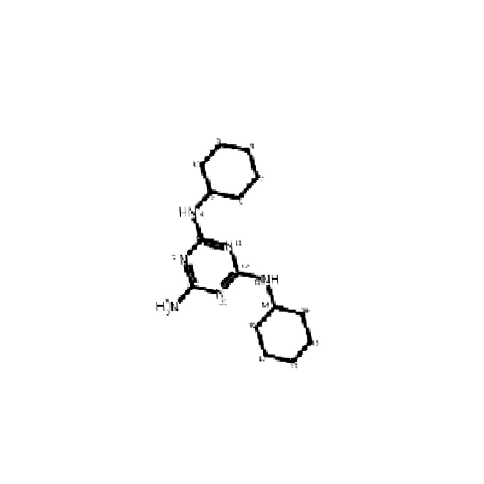 Nc1nc(NC2CCCCC2)nc(NC2CCCCC2)n1